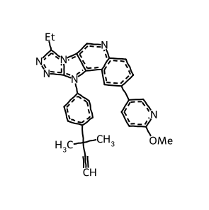 C#CC(C)(C)c1ccc(-n2c3c4cc(-c5ccc(OC)nc5)ccc4ncc3n3c(CC)nnc23)cc1